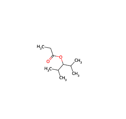 CCC(=O)OC(C(C)C)C(C)C